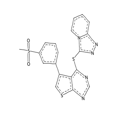 CS(=O)(=O)c1cccc(-c2csc3ncnc(Sc4nnc5ccccn45)c23)c1